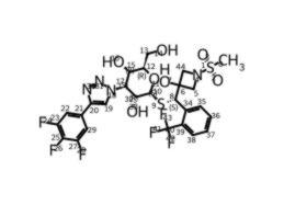 CS(=O)(=O)N1CC(O)([C@@H](S[C@@H]2O[C@H](CO)[C@H](O)[C@H](n3cc(-c4cc(F)c(F)c(F)c4)nn3)[C@H]2O)c2ccccc2C(F)(F)F)C1